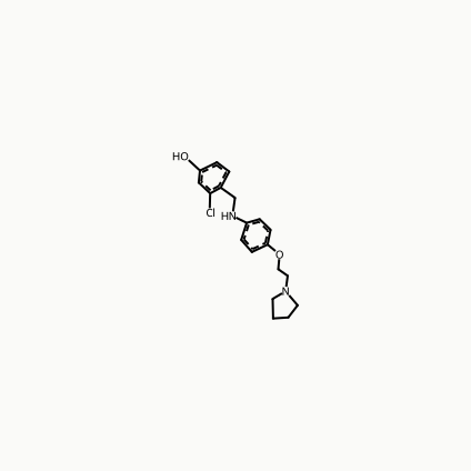 Oc1ccc(CNc2ccc(OCCN3CCCC3)cc2)c(Cl)c1